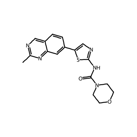 Cc1ncc2ccc(-c3cnc(NC(=O)N4CCOCC4)s3)cc2n1